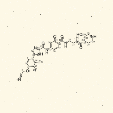 N#CCOc1ccc(-c2cnc(C(=O)Nc3ccc(C(=O)NCCNC(=O)[C@H]4CCNC[C@H]4O)c(Cl)c3)[nH]2)c(F)c1F